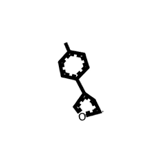 Cc1ccc(-c2c[c]oc2)cc1